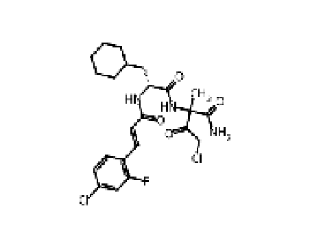 CC(NC(=O)[C@@H](CC1CCCCC1)NC(=O)/C=C/c1ccc(Cl)cc1F)(C(N)=O)C(=O)CCl